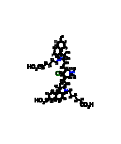 Cc1ccc2c3c(ccc2c1)[N+](CCCCCC(=O)O)=C(/C=C/C1=C(Cl)C(=C/C=C2/N(CCCCCC(=O)O)c4ccc5cc(S(=O)(=O)O)ccc5c4C2(C)C)/C[N+](C)(C)C1)C3(C)C